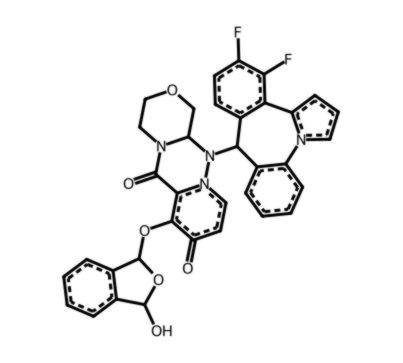 O=C1c2c(OC3OC(O)c4ccccc43)c(=O)ccn2N(C2c3ccccc3-n3cccc3-c3c2ccc(F)c3F)C2COCCN12